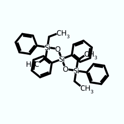 CC[Si](CC)(O[Si](O[Si](CC)(CC)c1ccccc1)(c1ccccc1)c1ccccc1)c1ccccc1